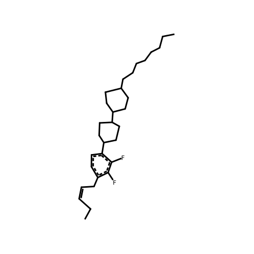 CC/C=C\Cc1ccc(C2CCC(C3CCC(CCCCCCCC)CC3)CC2)c(F)c1F